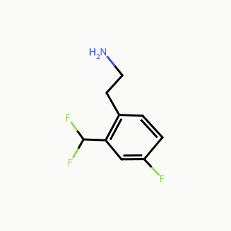 NCCc1ccc(F)cc1C(F)F